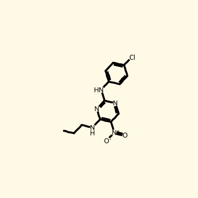 CCCNc1nc(Nc2ccc(Cl)cc2)ncc1[N+](=O)[O-]